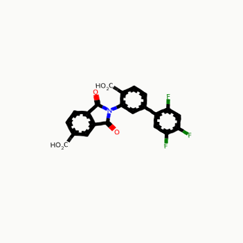 O=C(O)c1ccc2c(c1)C(=O)N(c1cc(-c3cc(F)c(F)cc3F)ccc1C(=O)O)C2=O